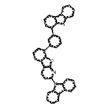 c1cc(-c2cccc3c2oc2nc(-n4c5ccccc5c5ccccc54)ccc23)cc(-c2cccc3c2sc2ccccc23)c1